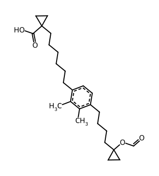 Cc1c(CCCCCCC2(C(=O)O)CC2)ccc(CCCCC2(OC=O)CC2)c1C